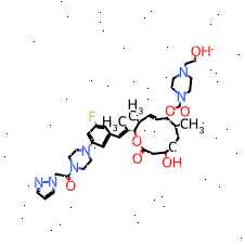 C/C(=C\c1cc(F)cc(N2CCN(C(=O)Cn3cccn3)CC2)c1)[C@H]1OC(=O)C[C@H](O)CC[C@H](C)[C@@H](OC(=O)N2CCN(CCO)CC2)/C=C/[C@@H]1C